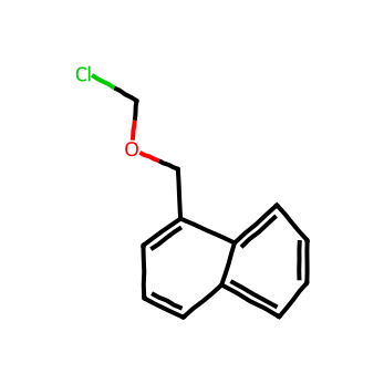 ClCOCc1cccc2ccccc12